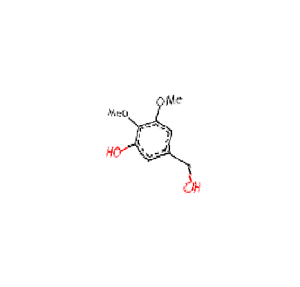 COc1cc(CO)cc(O)c1OC